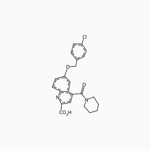 O=C(O)c1cc(C(=O)N2CCCCC2)c2cc(OCc3ccc(Cl)cc3)ccc2n1